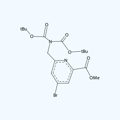 COC(=O)c1cc(Br)cc(CN(C(=O)OC(C)(C)C)C(=O)OC(C)(C)C)n1